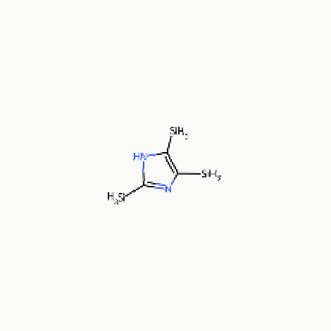 [SiH3]c1nc([SiH3])c([SiH3])[nH]1